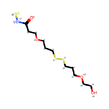 O=C(CCOCCCSSCCCOCCO)NS